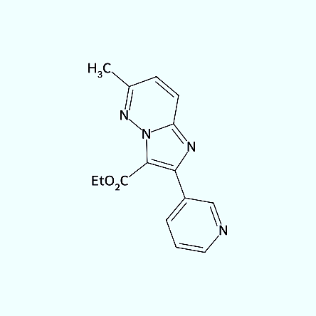 CCOC(=O)c1c(-c2cccnc2)nc2ccc(C)nn12